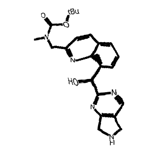 CN(Cc1ccc2cccc(C(O)c3ncc4c(n3)CNC4)c2n1)C(=O)OC(C)(C)C